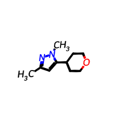 Cc1cc(C2CCOCC2)n(C)n1